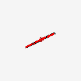 CCCCCCCCC=CCCCCCCCCCCCCOC(=O)OCCCCCCCCCCCCCCCCCC